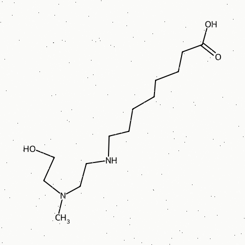 CN(CCO)CCNCCCCCCCC(=O)O